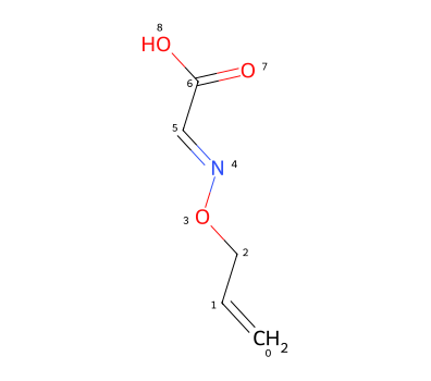 C=CCON=CC(=O)O